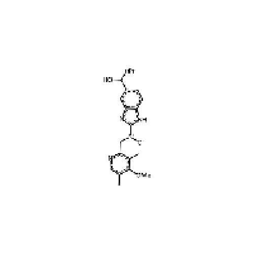 CCCC(O)c1ccc2[nH]c([S+]([O-])Cc3ncc(C)c(OC)c3C)nc2c1